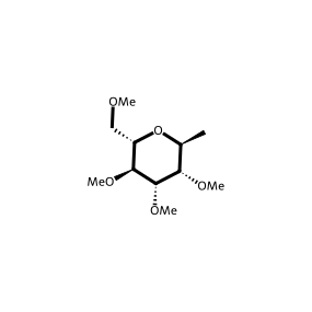 COC[C@@H]1O[C@@H](C)[C@H](OC)[C@H](OC)[C@H]1OC